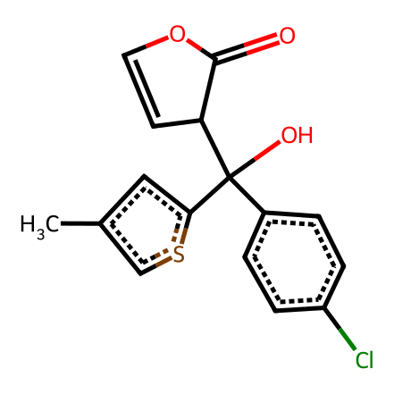 Cc1csc(C(O)(c2ccc(Cl)cc2)C2C=COC2=O)c1